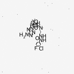 CN(CCCNC(=O)Nc1ccc(F)c(Cl)c1)C[C@H]1O[C@@H](n2cnc3c(N)ncnc32)[C@@H]2OC(C)(C)O[C@@H]21